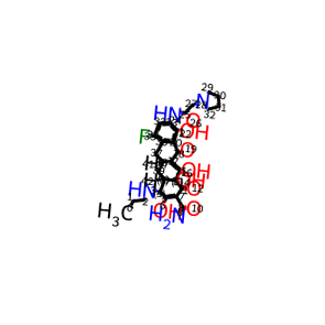 CCCN[C@@H]1C(O)=C(C(N)=O)C(=O)[C@@]2(O)C(O)=C3C(=O)c4c(O)c(NC(=O)CN5CCCC5)cc(F)c4C[C@H]3C[C@@H]12